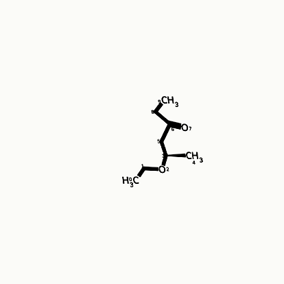 CCO[C@H](C)CC(=O)CC